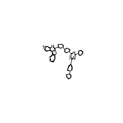 c1ccc(-c2ccc(-c3nc(-c4ccccc4)nc(-c4ccc(-c5cccc(-c6nc7cnccc7c7c6sc6ccccc67)c5)cc4)n3)cc2)cc1